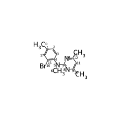 Cc1ccc(N(C)c2nc(C)cc(C)n2)c(Br)c1